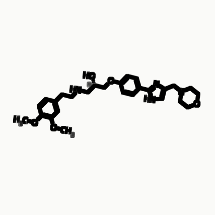 COc1ccc(CCNC[C@H](O)COc2ccc(-c3nc(CN4CCOCC4)c[nH]3)cc2)cc1OC